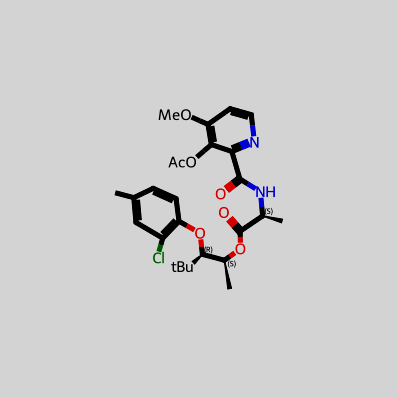 COc1ccnc(C(=O)N[C@@H](C)C(=O)O[C@@H](C)[C@H](Oc2ccc(C)cc2Cl)C(C)(C)C)c1OC(C)=O